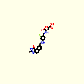 Cc1nc2ccc3ccc(CNc4ccc(CN[C@@H](CCC(=O)O)C(=O)O)c(F)c4)cc3c2c(=O)[nH]1